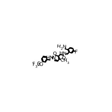 Cc1ccn(NCc2cccc(OC(F)(F)F)c2)c(=O)c1CC(=O)NCc1cc(F)ccc1CN